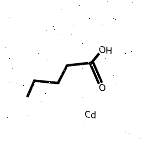 CCCCC(=O)O.[Cd]